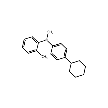 Cc1ccccc1N(C)c1ccc(C2CCCCC2)cc1